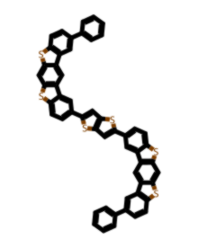 c1ccc(-c2ccc3sc4cc5sc6ccc(-c7cc8sc(-c9ccc%10sc%11cc%12sc%13ccc(-c%14ccccc%14)cc%13c%12cc%11c%10c9)cc8s7)cc6c5cc4c3c2)cc1